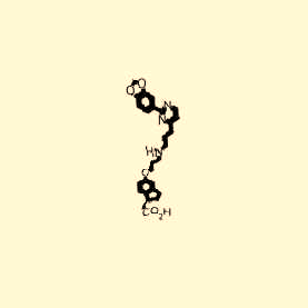 O=C(O)C[C@@H]1CCc2cc(OCCCNCCCc3ccnc(-c4ccc5c(c4)OCO5)n3)ccc21